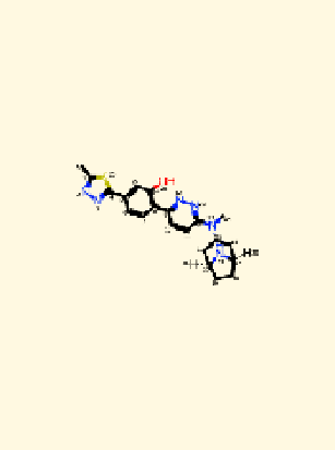 Cc1nnc(-c2ccc(-c3ccc(N(C)[C@@H]4C[C@H]5CC[C@@H](C4)N5)nn3)c(O)c2)s1